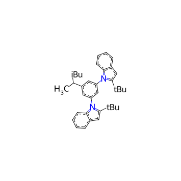 CCC(C)C(C)c1cc(-n2c(C(C)(C)C)cc3ccccc32)cc(-n2c(C(C)(C)C)cc3ccccc32)c1